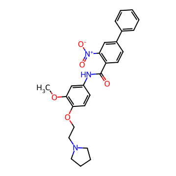 COc1cc(NC(=O)c2ccc(-c3ccccc3)cc2[N+](=O)[O-])ccc1OCCN1CCCC1